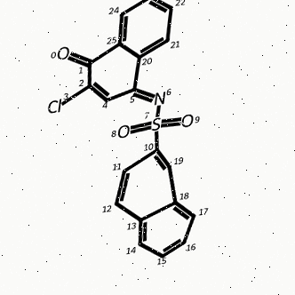 O=C1C(Cl)=CC(=NS(=O)(=O)c2ccc3ccccc3c2)c2ccccc21